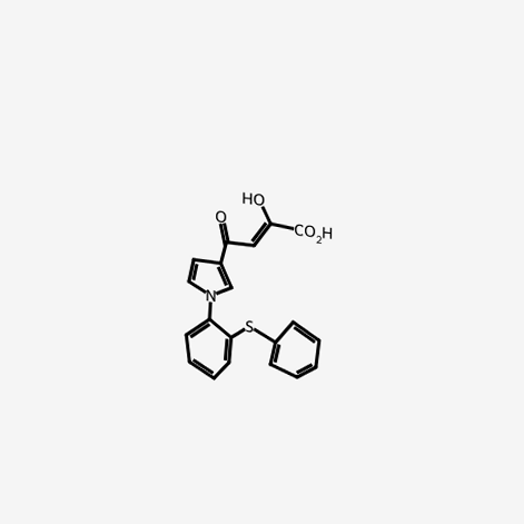 O=C(O)C(O)=CC(=O)c1ccn(-c2ccccc2Sc2ccccc2)c1